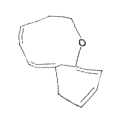 C1=CCCOC2=CC=CCC2=C1